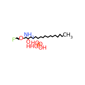 CCCCCCCCCCCCCCCC(O)C(N)COC=CF.O=P(O)(O)O